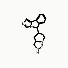 c1ccc2c(c1)-c1cncn1C2C1CCN2SNCC2C1